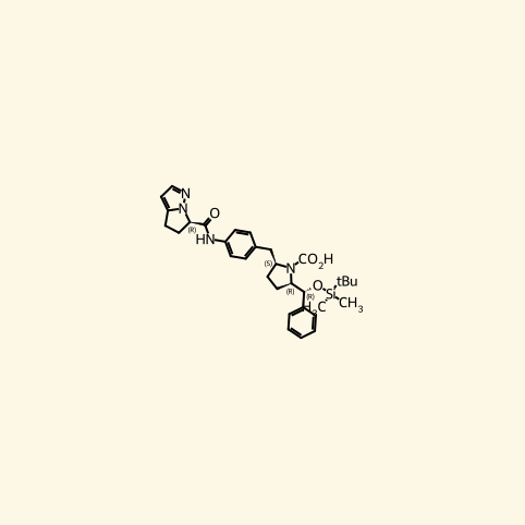 CC(C)(C)[Si](C)(C)O[C@H](c1ccccc1)[C@H]1CC[C@@H](Cc2ccc(NC(=O)[C@H]3CCc4ccnn43)cc2)N1C(=O)O